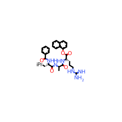 CC(C)C[C@H](NC(=O)c1ccccc1)C(=O)NC(C)C(=O)N[C@@H](CCCNC(=N)N)C(=O)Oc1cccc2ccccc12